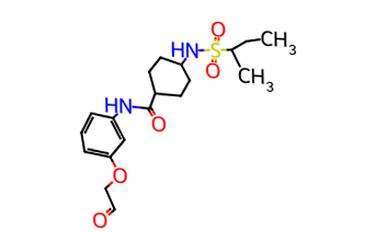 CCC(C)S(=O)(=O)NC1CCC(C(=O)Nc2cccc(OCC=O)c2)CC1